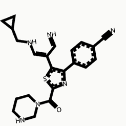 N#Cc1ccc(-c2nc(C(=O)N3CCCNC3)sc2/C(C=N)=C/NCC2CC2)cc1